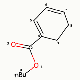 CCC[CH]OC(=O)C1=CC=CCC1